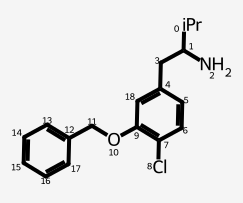 CC(C)C(N)Cc1ccc(Cl)c(OCc2ccccc2)c1